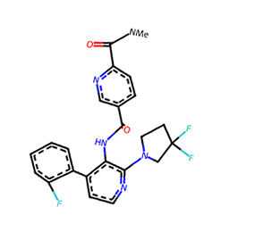 CNC(=O)c1ccc(C(=O)Nc2c(-c3ccccc3F)ccnc2N2CCC(F)(F)C2)cn1